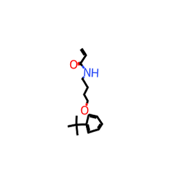 C=CC(=O)NCCCCOc1ccccc1C(C)(C)C